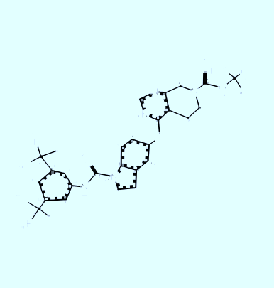 CC(C)(C)OC(=O)N1CCc2c(ncnc2Oc2ccc3c(ccn3C(=O)Nc3cc(C(F)(F)F)cc(C(F)(F)F)c3)c2)C1